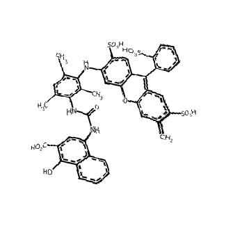 C=c1cc2c(cc1S(=O)(=O)O)=C(c1ccccc1S(=O)(=O)O)c1cc(S(=O)(=O)O)c(Nc3c(C)cc(C)c(NC(=O)Nc4cc(C(=O)O)c(O)c5ccccc45)c3C)cc1O2